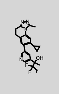 Cc1nnc2n1-c1cc(C3CC3)c(-c3cncc(C(C)(O)C(F)(F)F)c3)cc1CC2